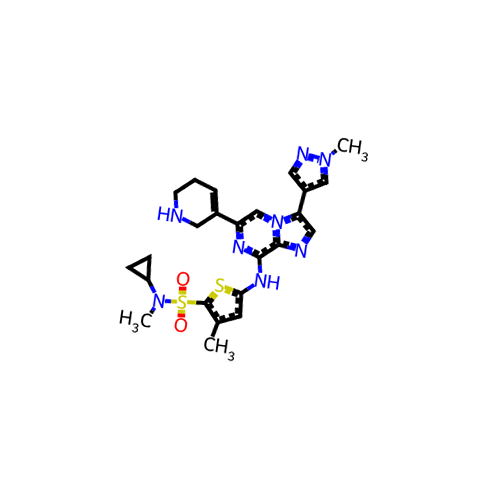 Cc1cc(Nc2nc(C3=CCCNC3)cn3c(-c4cnn(C)c4)cnc23)sc1S(=O)(=O)N(C)C1CC1